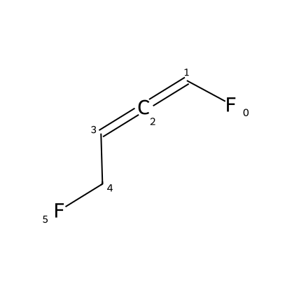 FC=C=CCF